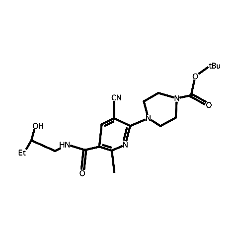 CCC(O)CNC(=O)c1cc(C#N)c(N2CCN(C(=O)OC(C)(C)C)CC2)nc1C